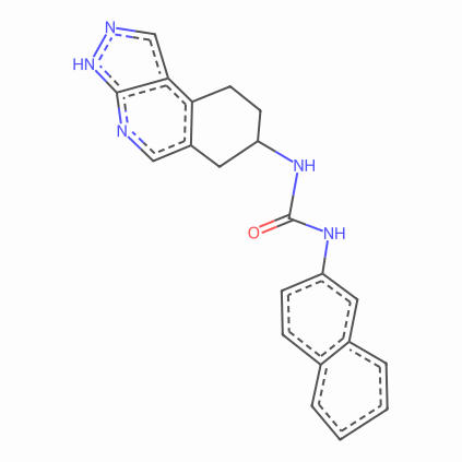 O=C(Nc1ccc2ccccc2c1)NC1CCc2c(cnc3[nH]ncc23)C1